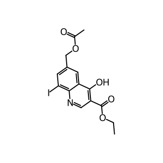 CCOC(=O)c1cnc2c(I)cc(COC(C)=O)cc2c1O